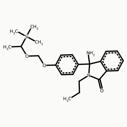 CCCN1C(=O)c2ccccc2C1(N)c1ccc(OCOC(C)[Si](C)(C)C)cc1